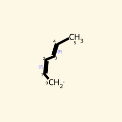 [CH2]/C=C\C=C\C